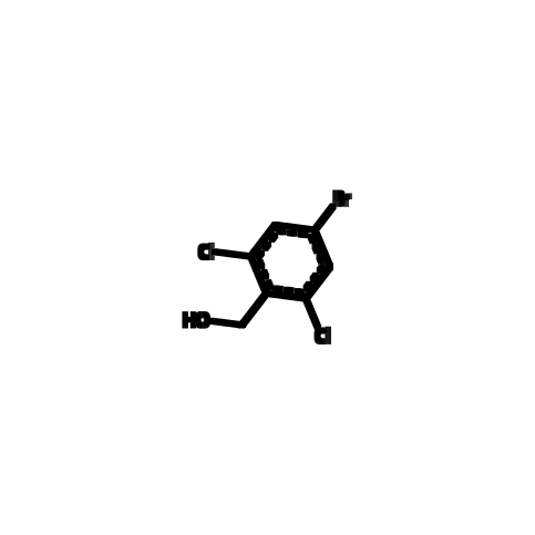 OCc1c(Cl)cc(Br)cc1Cl